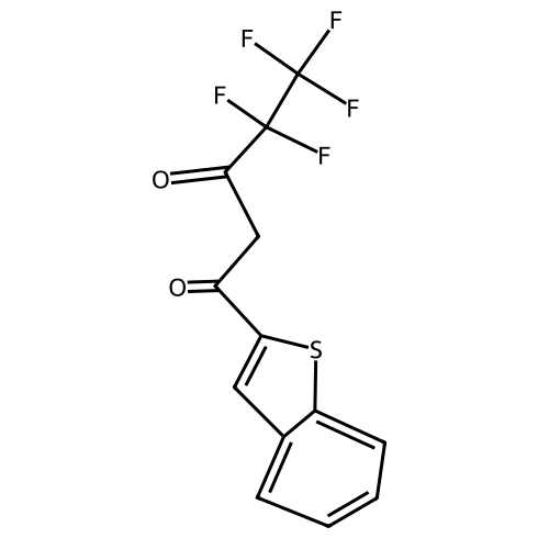 O=C(CC(=O)C(F)(F)C(F)(F)F)c1cc2ccccc2s1